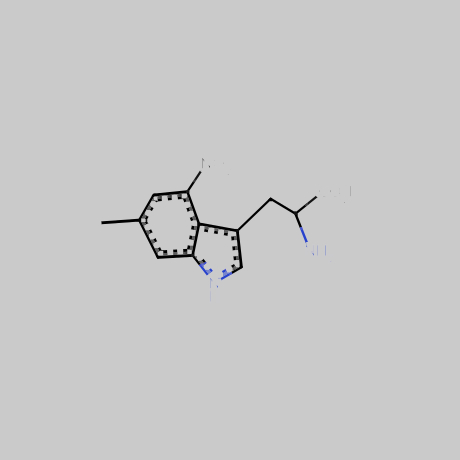 Cc1cc([N+](=O)[O-])c2c(CC(N)C(=O)O)c[nH]c2c1